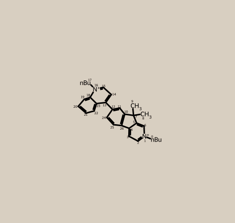 CCCC[n+]1ccc2c(c1)C(C)(C)c1cc(-c3cc[n+](CCCC)c4ccccc34)ccc1-2